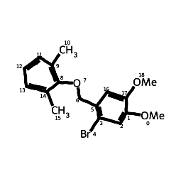 COc1cc(Br)c(COc2c(C)cccc2C)cc1OC